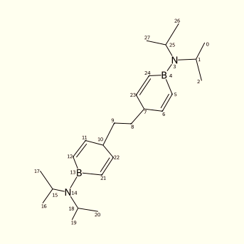 CC(C)N(B1C=CC(CCC2C=CB(N(C(C)C)C(C)C)C=C2)C=C1)C(C)C